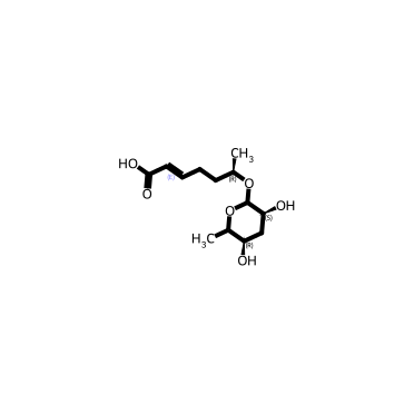 CC1OC(O[C@H](C)CC/C=C/C(=O)O)[C@@H](O)C[C@H]1O